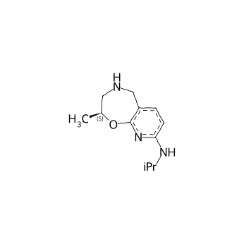 CC(C)Nc1ccc2c(n1)O[C@@H](C)CNC2